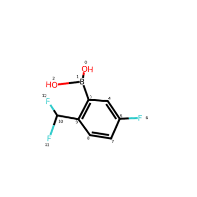 OB(O)c1cc(F)ccc1C(F)F